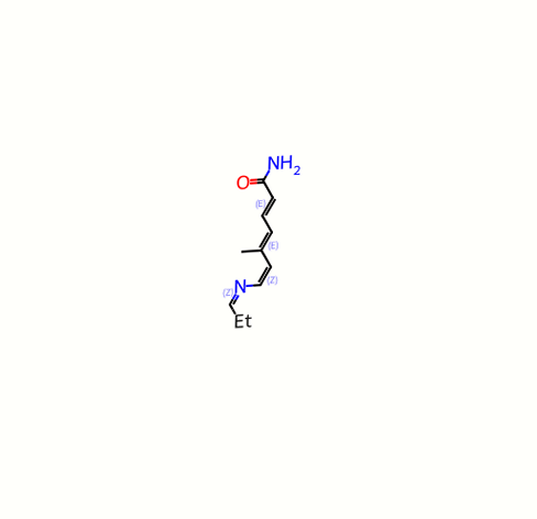 CC\C=N/C=C\C(C)=C\C=C\C(N)=O